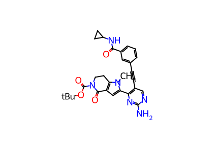 Cn1c(-c2nc(N)ncc2C#Cc2cccc(C(=O)NC3CC3)c2)cc2c1CCN(C(=O)OC(C)(C)C)C2=O